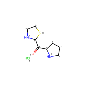 Cl.O=C(C1CCCN1)C1NCCS1